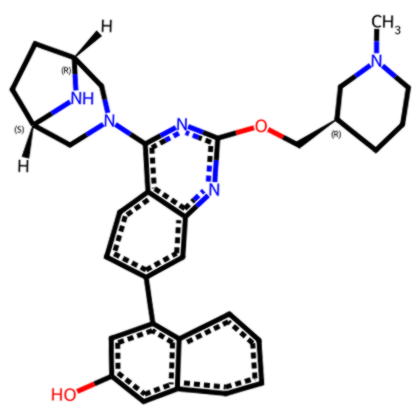 CN1CCC[C@@H](COc2nc(N3C[C@H]4CC[C@@H](C3)N4)c3ccc(-c4cc(O)cc5ccccc45)cc3n2)C1